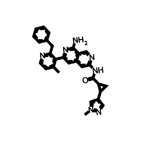 Cc1ccnc(Cc2ccccc2)c1-c1cc2cc(NC(=O)C3CC3c3cnn(C)c3)ncc2c(N)n1